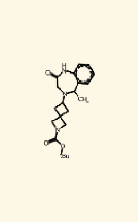 CC1c2ccccc2NC(=O)CN1C1CC2(C1)CN(C(=O)OC(C)(C)C)C2